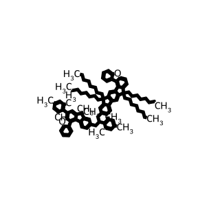 CCCCCCCCC1(CCCCCCCC)c2cc(CC(Cc3ccc4c(c3)C(C)(C)c3cc(-c5c(C)cc(C)cc5C)c5oc6ccccc6c5c3-4)c3c(C)cc(C)cc3C)ccc2-c2cc3c(cc21)-c1c(ccc2oc4ccccc4c12)C3(CCCCCCCC)CCCCCCCC